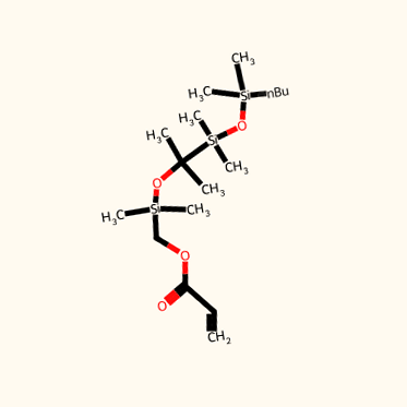 C=CC(=O)OC[Si](C)(C)OC(C)(C)[Si](C)(C)O[Si](C)(C)CCCC